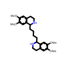 COc1cc2c(cc1OC)C(CCCCC1NCCc3cc(OC)c(OC)cc31)NCC2